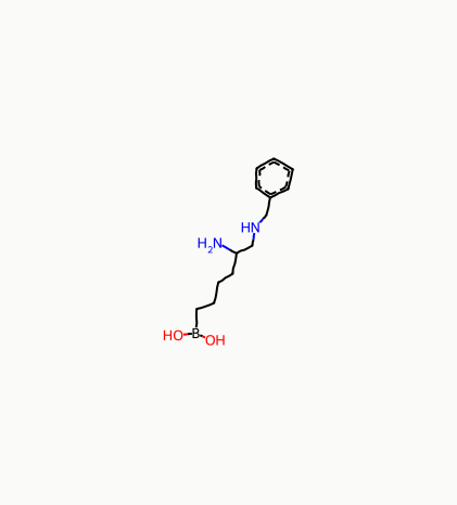 NC(CCCCB(O)O)CNCc1ccccc1